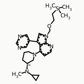 CN(C1CC1)[C@H]1CCCN(c2ccnc3c2c(-c2cncnc2)cn3COCC[Si](C)(C)C)C1